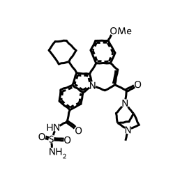 COc1ccc2c(c1)C=C(C(=O)N1CC3CC1CN3C)Cn1c-2c(C2CCCCC2)c2ccc(C(=O)NS(N)(=O)=O)cc21